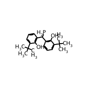 CC(C)(C)c1cccc(C(P)c2cccc(C(C)(C)C)c2O)c1O